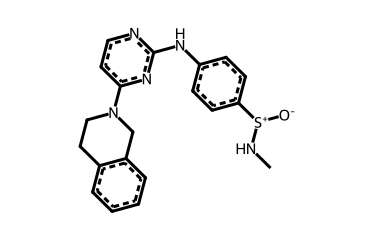 CN[S+]([O-])c1ccc(Nc2nccc(N3CCc4ccccc4C3)n2)cc1